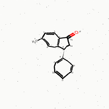 Cc1ccc2c(c1)[C@@H](c1ccccc1)CC2=O